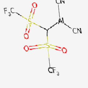 N#[C][Al]([C]#N)[CH](S(=O)(=O)C(F)(F)F)S(=O)(=O)C(F)(F)F